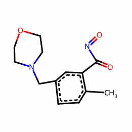 Cc1ccc(CN2CCOCC2)cc1C(=O)N=O